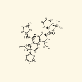 CCOC1(c2cccnc2)C=CC(N2CCN(C(=O)N3CCCC[C@H]3C(F)(F)F)C[C@H]2CC)=C(C(=O)N[C@H]2CCN(C)C2)N1